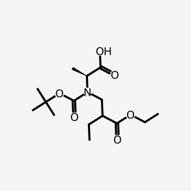 CCOC(=O)C(CC)CN(C(=O)OC(C)(C)C)[C@@H](C)C(=O)O